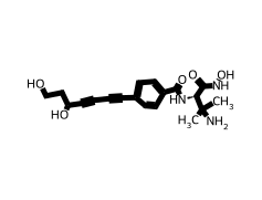 CC(C)(N)[C@H](NC(=O)c1ccc(C#CC#CC(O)CCO)cc1)C(=O)NO